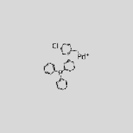 [Cl-].[Pd+][CH2]c1ccccc1.c1ccc(P(c2ccccc2)c2ccccc2)cc1